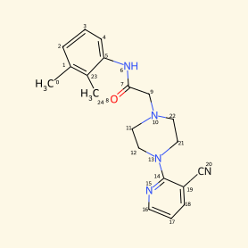 Cc1cccc(NC(=O)CN2CCN(c3ncccc3C#N)CC2)c1C